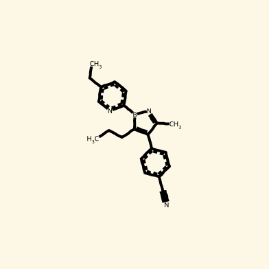 CCCC1=C(c2ccc(C#N)cc2)C(C)=NB1c1ccc(CC)cn1